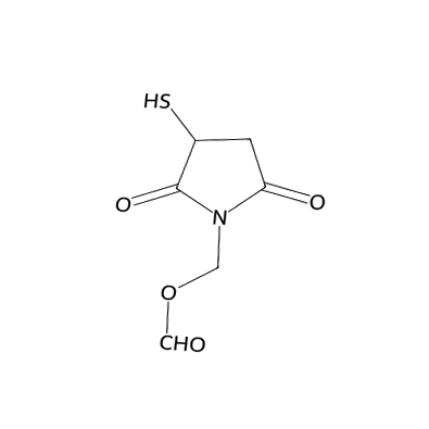 O=COCN1C(=O)CC(S)C1=O